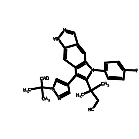 CC(C)(CC#N)c1c(-c2cnn(C(C)(C)C=O)c2)c2cc3[nH]ncc3cc2n1-c1ccc(F)cc1